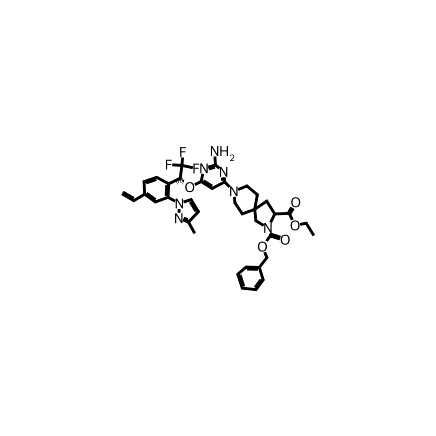 C=Cc1ccc([C@@H](Oc2cc(N3CCC4(CC3)CC(C(=O)OCC)N(C(=O)OCc3ccccc3)C4)nc(N)n2)C(F)(F)F)c(-n2ccc(C)n2)c1